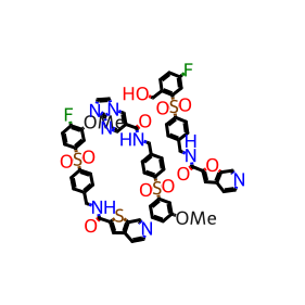 COc1cc(S(=O)(=O)c2ccc(CNC(=O)c3cc4ccncc4s3)cc2)ccc1F.COc1cccc(S(=O)(=O)c2ccc(CNC(=O)c3cnc4nccn4c3)cc2)c1.O=C(NCc1ccc(S(=O)(=O)c2cc(F)ccc2CO)cc1)c1cc2ccncc2o1